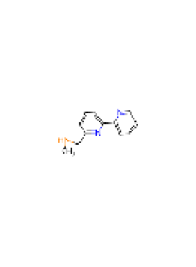 CPCc1cccc(-c2ccccn2)n1